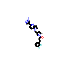 C[C@H]1CC(Cn2ccc3nc(-c4cn[nH]c4)ccc32)CN1C(=O)CCc1cccc(F)c1F